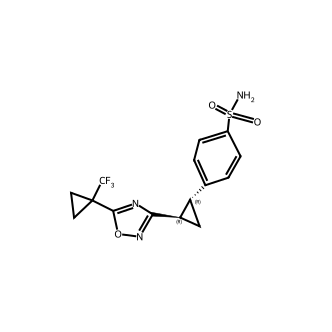 NS(=O)(=O)c1ccc([C@@H]2C[C@H]2c2noc(C3(C(F)(F)F)CC3)n2)cc1